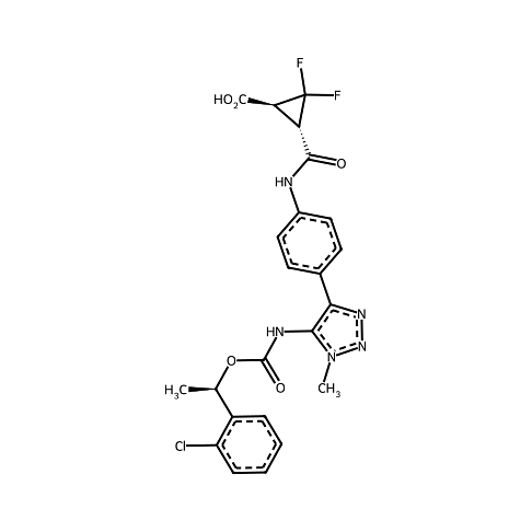 C[C@@H](OC(=O)Nc1c(-c2ccc(NC(=O)[C@@H]3[C@@H](C(=O)O)C3(F)F)cc2)nnn1C)c1ccccc1Cl